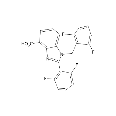 O=C(O)c1cccc2c1nc(-c1c(F)cccc1F)n2Cc1c(F)cccc1F